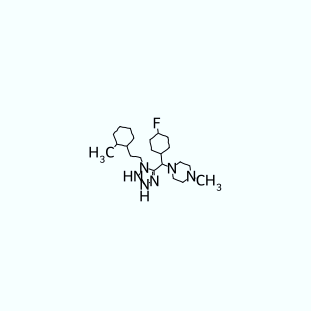 CC1CCCCC1CCN1NNN=C1C(C1CCC(F)CC1)N1CCN(C)CC1